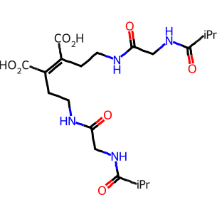 CC(C)C(=O)NCC(=O)NCCC(C(=O)O)=C(CCNC(=O)CNC(=O)C(C)C)C(=O)O